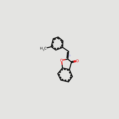 Cc1cccc(/C=C2\Oc3ccccc3C2=O)c1